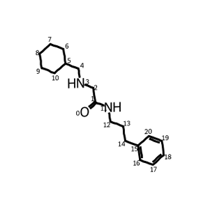 O=C(CNCC1CCCCC1)NCCCc1ccccc1